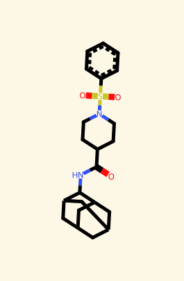 O=C(NC1C2CC3CC(C2)CC1C3)C1CCN(S(=O)(=O)c2ccccc2)CC1